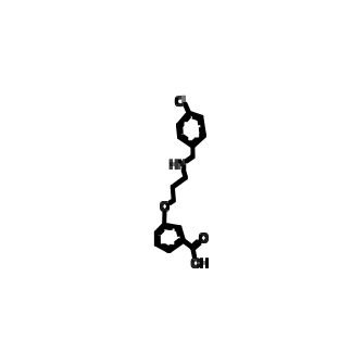 O=C(O)c1cccc(OCCCNCc2ccc(Cl)cc2)c1